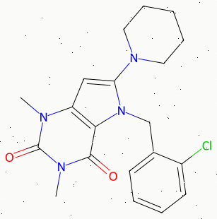 Cn1c(=O)c2c(cc(N3CCCCC3)n2Cc2ccccc2Cl)n(C)c1=O